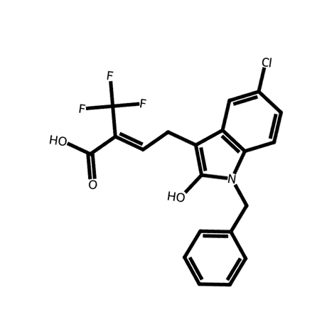 O=C(O)/C(=C/Cc1c(O)n(Cc2ccccc2)c2ccc(Cl)cc12)C(F)(F)F